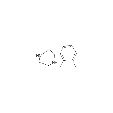 C1CNCCN1.Cc1ccccc1C